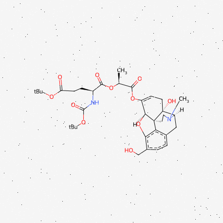 C[C@H](OC(=O)[C@H](CCC(=O)OC(C)(C)C)NC(=O)OC(C)(C)C)C(=O)OC1=CC[C@@]2(O)[C@H]3Cc4ccc(CO)c5c4[C@@]2(CCN3C)[C@H]1O5